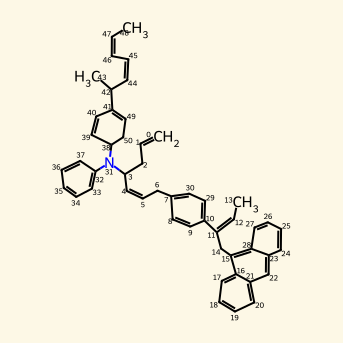 C=CCC(/C=C\Cc1ccc(/C(=C\C)Cc2c3ccccc3cc3ccccc23)cc1)N(c1ccccc1)C1C=CC(C(C)/C=C\C=C/C)=CC1